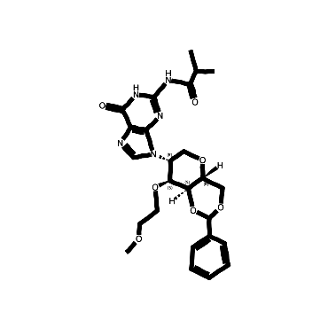 COCCO[C@@H]1[C@@H]2OC(c3ccccc3)OC[C@H]2OC[C@H]1n1cnc2c(=O)[nH]c(NC(=O)C(C)C)nc21